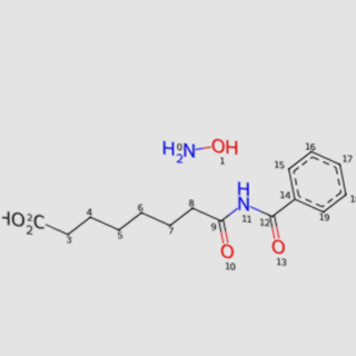 NO.O=C(O)CCCCCCC(=O)NC(=O)c1ccccc1